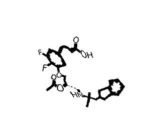 CC(=O)O[C@@H](CNC(C)(C)CC1Cc2ccccc2C1)COc1cc(CCC(=O)O)cc(F)c1F